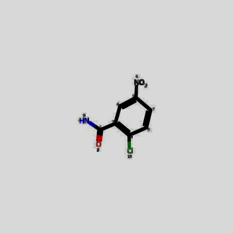 [NH]C(=O)c1cc([N+](=O)[O-])ccc1Cl